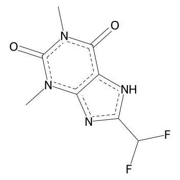 Cn1c(=O)c2[nH]c(C(F)F)nc2n(C)c1=O